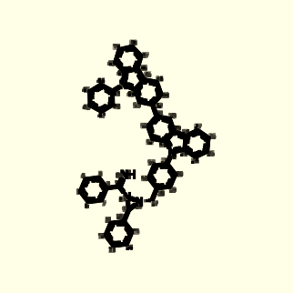 N=C(c1ccccc1)N1C(c2ccccc2)[N@@]1Cc1ccc(-n2c3ccccc3c3cc(-c4ccc5c6ccccc6n(-c6ccccc6)c5c4)ccc32)cc1